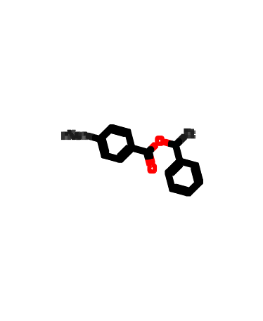 CCCCCCCCCc1ccc(C(=O)OC(CC)c2ccccc2)cc1